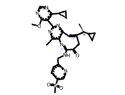 COc1ncnc(C2CC2)c1-c1nc(C)c2c(n1)/C=C(\[C@@H](C)C1CC1)CC(=O)/C(NCc1ccc(S(C)(=O)=O)cn1)=N\2